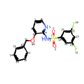 O=S(=O)(Nc1ncccc1OCc1ccccc1)c1cc(F)cc(F)c1